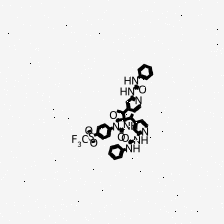 CC(c1ccnc(NC(=O)Nc2ccccc2)c1)C1(C(C)c2ccnc(NC(=O)Nc3ccccc3)c2)NC(=O)N(c2ccc(S(=O)(=O)C(F)(F)F)cc2)C1=O